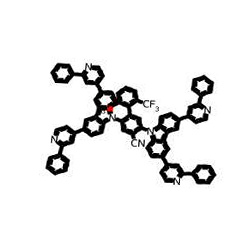 N#Cc1cc(-n2c3ccc(-c4ccnc(-c5ccccc5)c4)cc3c3cc(-c4ccnc(-c5ccccc5)c4)ccc32)c(-c2c(C(F)(F)F)cccc2C(F)(F)F)cc1-n1c2ccc(-c3ccnc(-c4ccccc4)c3)cc2c2cc(-c3ccnc(-c4ccccc4)c3)ccc21